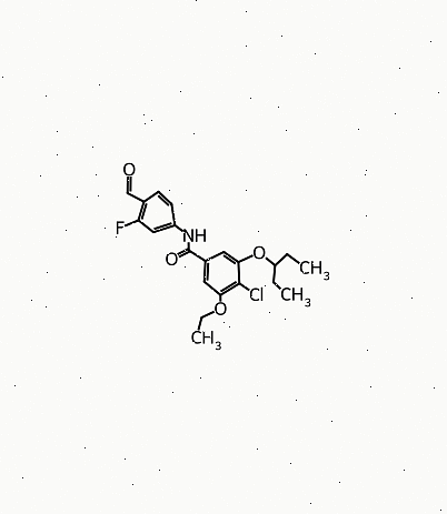 CCOc1cc(C(=O)Nc2ccc(C=O)c(F)c2)cc(OC(CC)CC)c1Cl